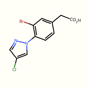 O=C(O)Cc1ccc(-n2cc(Cl)cn2)c(Br)c1